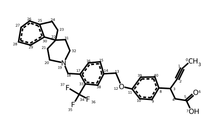 CC#CC(CC(=O)O)c1ccc(OCc2ccc(CN3CCC4(CCc5ccccc54)CC3)c(C(F)(F)F)c2)cc1